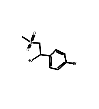 CS(=O)(=O)CC(O)c1ccc(Br)cc1